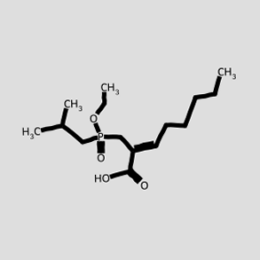 CCCCCC=C(CP(=O)(CC(C)C)OCC)C(=O)O